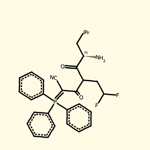 CC(C)C[C@H](N)C(=O)C(CC(F)F)C(=O)C(C#N)=P(c1ccccc1)(c1ccccc1)c1ccccc1